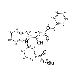 C[C@H](NC(=O)OCc1ccccc1)c1nc2ccccc2n1[C@@H]1CCCN(C(=O)OC(C)(C)C)C1